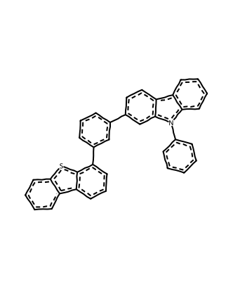 c1ccc(-n2c3ccccc3c3ccc(-c4cccc(-c5cccc6c5sc5ccccc56)c4)cc32)cc1